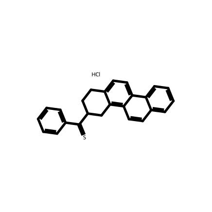 Cl.S=C(c1ccccc1)C1CCc2ccc3c(ccc4ccccc43)c2C1